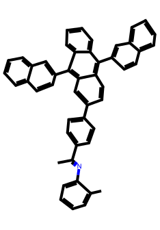 C/C(=N\c1ccccc1C)c1ccc(-c2ccc3c(-c4ccc5ccccc5c4)c4ccccc4c(-c4ccc5ccccc5c4)c3c2)cc1